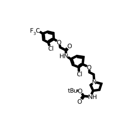 CC(C)(C)OC(=O)NC1CCN(CCOc2ccc(NC(=O)COc3ccc(C(F)(F)F)cc3Cl)cc2Cl)C1